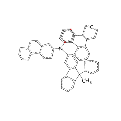 CC1(c2ccccc2)c2ccccc2-c2cc(N(c3ccc4c(ccc5ccccc54)c3)c3ccccc3-c3ccccc3-c3ccccc3-c3ccccc3)ccc21